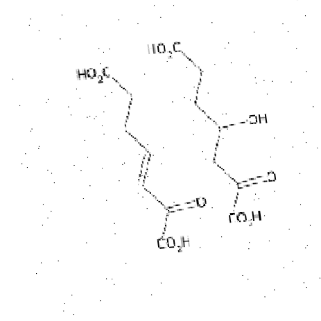 O=C(O)CCC(O)CC(=O)C(=O)O.O=C(O)CCC=CC(=O)C(=O)O